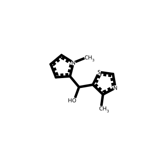 Cc1ncsc1C(O)c1cccn1C